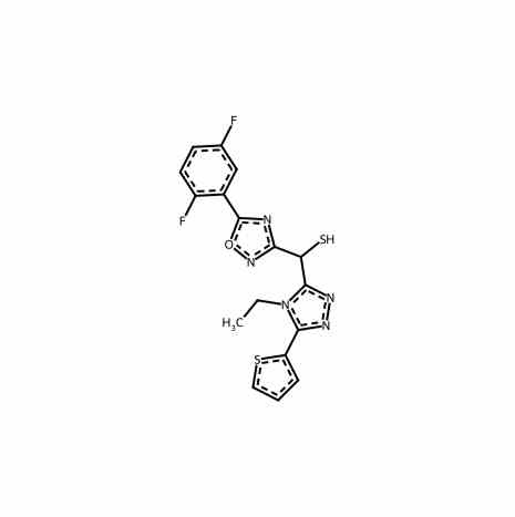 CCn1c(-c2cccs2)nnc1C(S)c1noc(-c2cc(F)ccc2F)n1